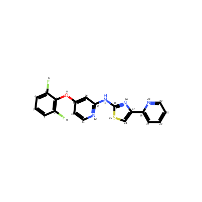 Fc1cccc(F)c1Oc1ccnc(Nc2nc(-c3ccccn3)cs2)c1